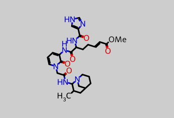 COC(=O)/C=C/CCC(NC(=O)c1c[nH]cn1)C(=O)Nc1cccn(CC(=O)NC2C(C)CC3CCCN2C3)c1=O